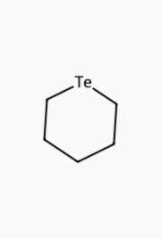 C1CC[Te]CC1